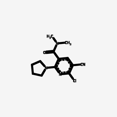 CN(C)C(=O)c1cc(C#N)c(Cl)nc1N1CCCC1